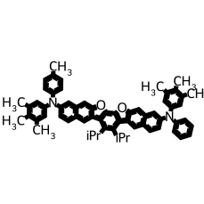 Cc1ccc(N(c2cc(C)c(C)c(C)c2)c2ccc3cc4c(cc3c2)oc2c3oc5cc6cc(N(c7ccccc7)c7cc(C)c(C)c(C)c7)ccc6cc5c3c(C(C)C)c(C(C)C)c42)cc1